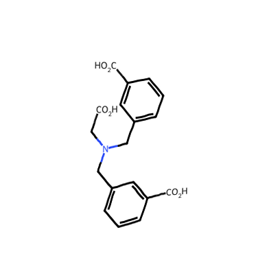 O=C(O)CN(Cc1cccc(C(=O)O)c1)Cc1cccc(C(=O)O)c1